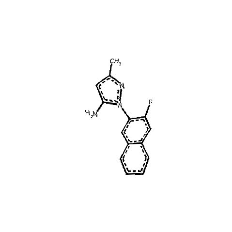 Cc1cc(N)n(-c2cc3ccccc3cc2F)n1